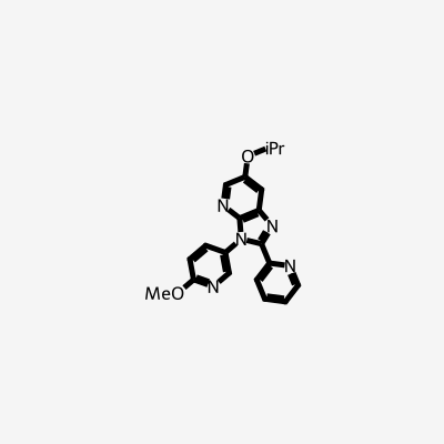 COc1ccc(-n2c(-c3ccccn3)nc3cc(OC(C)C)cnc32)cn1